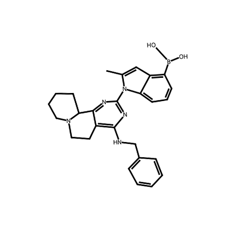 Cc1cc2c(B(O)O)cccc2n1-c1nc(NCc2ccccc2)c2c(n1)C1CCCCN1CC2